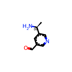 C[C@H](N)c1cncc(C=O)c1